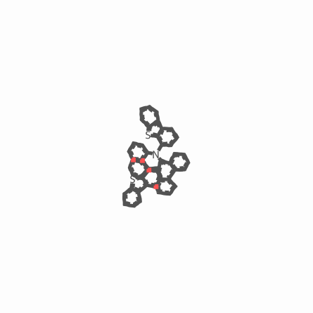 c1ccc(-c2c(N(c3ccccc3-c3cccc4c3sc3ccccc34)c3cccc4c3sc3ccccc34)c3ccccc3c3ccccc23)cc1